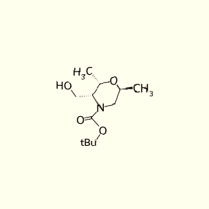 C[C@@H]1O[C@@H](C)CN(C(=O)OC(C)(C)C)[C@@H]1CO